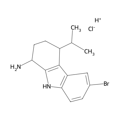 CC(C)C1CCC(N)c2[nH]c3ccc(Br)cc3c21.[Cl-].[H+]